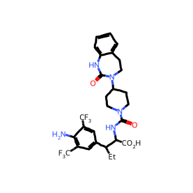 CCC(c1cc(C(F)(F)F)c(N)c(C(F)(F)F)c1)C(NC(=O)N1CCC(N2CCc3ccccc3NC2=O)CC1)C(=O)O